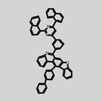 c1ccc(-c2ccc(-c3c4c(cc5c(-c6cccc(-c7cc(-c8cccc9ccccc89)nc(-c8cccc9ccccc89)n7)c6)nc6ccccc6c35)oc3ccccc34)cc2)cc1